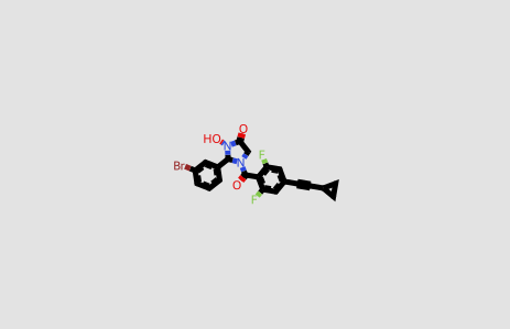 O=C1CN(C(=O)c2c(F)cc(C#CC3CC3)cc2F)C(c2cccc(Br)c2)N1O